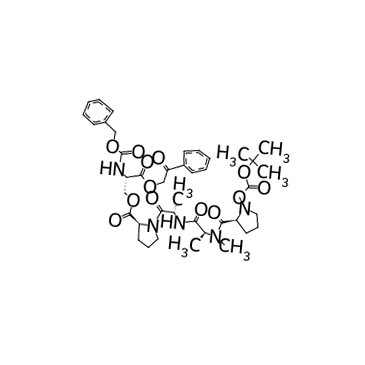 C[C@H](NC(=O)[C@H](C)N(C)C(=O)[C@@H]1CCCN1OC(=O)OC(C)(C)C)C(=O)N1CCC[C@H]1C(=O)OC[C@H](NC(=O)OCc1ccccc1)C(=O)OCC(=O)c1ccccc1